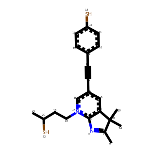 CC1=Nc2c(cc(C#Cc3ccc(S)cc3)c[n+]2CCC(C)S)C1(C)C